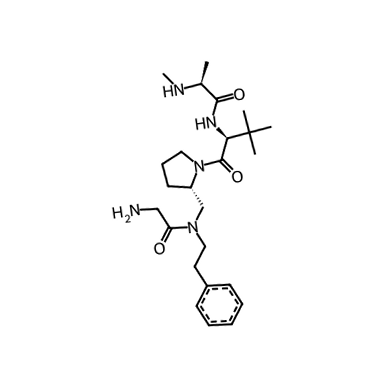 CN[C@@H](C)C(=O)N[C@H](C(=O)N1CCC[C@H]1CN(CCc1ccccc1)C(=O)CN)C(C)(C)C